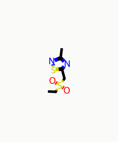 CCS(=O)(=O)Cc1nc(C)ns1